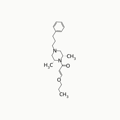 CCCOC=CC(=O)N1[C@H](C)CN(CCCc2ccccc2)C[C@@H]1C